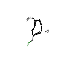 CC(C)(C)c1cccc([CH]Cl)c1.[Pd]